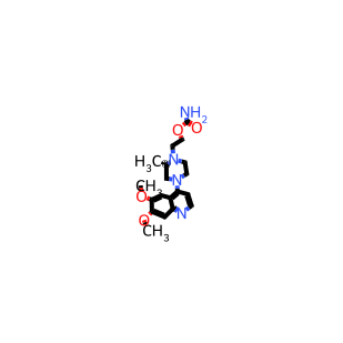 COc1cc2nccc(N3CCN(CCOC(N)=O)[C@H](C)C3)c2cc1OC